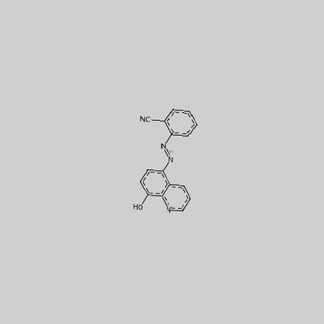 N#Cc1ccccc1/N=N/c1ccc(O)c2ncccc12